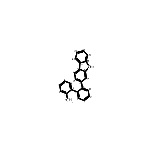 Cc1ccccc1-c1ccccc1-c1ccc2c(c1)oc1ccccc12